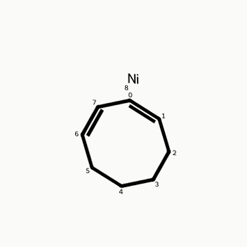 C1=C\CCCC\C=C/1.[Ni]